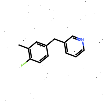 Cc1cc([CH]c2cccnc2)ccc1F